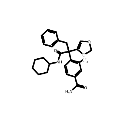 NC(=O)c1ccc(C(Cc2ccccc2)(C(=O)NC2CCCCC2)C2=COCO2)c(C(F)(F)F)c1